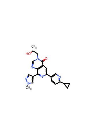 Cn1cc(-c2nc(-c3ccc(C4CC4)nc3)cc3c(=O)n(C[C@H](O)C(F)(F)F)cnc23)cn1